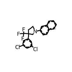 FC(F)(F)C1(c2cc(Cl)cc(Cl)c2)CCN(c2ccc3[c]cccc3c2)C1